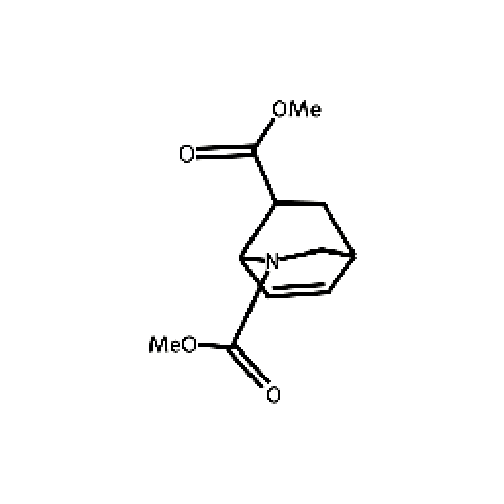 COC(=O)C1CC2C=CC1N(C(=O)OC)C2